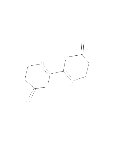 O=C1CCN=C(C2=NCCC(=O)O2)O1